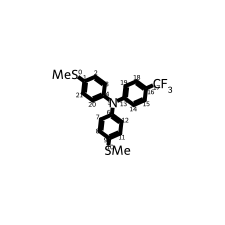 CSc1ccc(N(c2ccc(SC)cc2)c2ccc(C(F)(F)F)cc2)cc1